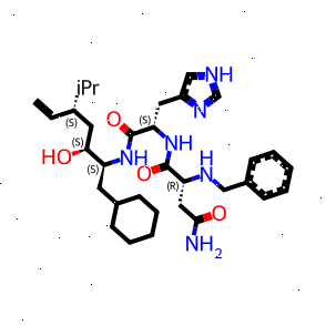 C=C[C@@H](C[C@H](O)[C@H](CC1CCCCC1)NC(=O)[C@H](Cc1c[nH]cn1)NC(=O)[C@@H](CC(N)=O)NCc1ccccc1)C(C)C